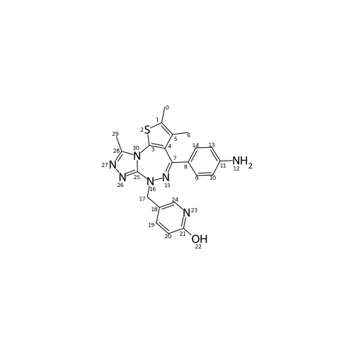 Cc1sc2c(c1C)C(c1ccc(N)cc1)=NN(Cc1ccc(O)nc1)c1nnc(C)n1-2